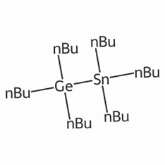 CCC[CH2][Ge]([CH2]CCC)([CH2]CCC)[Sn]([CH2]CCC)([CH2]CCC)[CH2]CCC